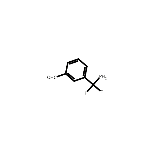 O=Cc1cccc(C(F)(F)P)c1